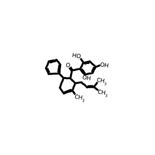 CC(C)=CCC1C(C)=CCC(c2ccccc2)C1C(=O)c1c(O)cc(O)cc1O